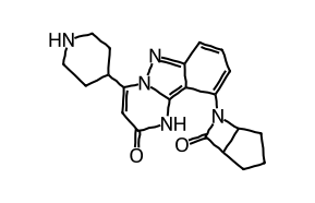 O=C1C2CCCC2N1c1cccc2nn3c(C4CCNCC4)cc(=O)[nH]c3c12